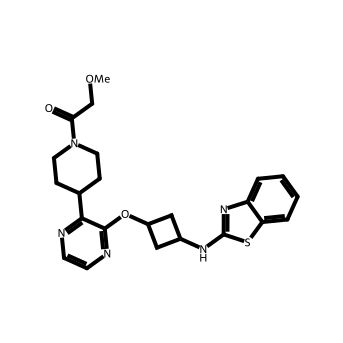 COCC(=O)N1CCC(c2nccnc2OC2CC(Nc3nc4ccccc4s3)C2)CC1